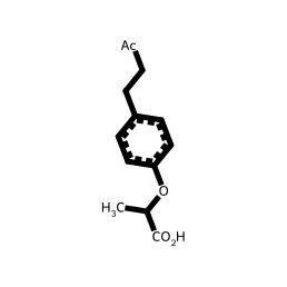 CC(=O)CCc1ccc(OC(C)C(=O)O)cc1